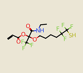 C=CC(=O)OC(OCCCCC(F)(F)C(F)(F)S)(C(=O)NCC)C(F)(F)F